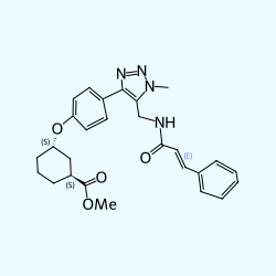 COC(=O)[C@H]1CCC[C@H](Oc2ccc(-c3nnn(C)c3CNC(=O)/C=C/c3ccccc3)cc2)C1